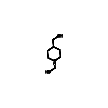 OCC1CC[SH](CO)CC1